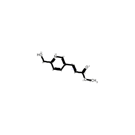 COC(=O)/C=C/c1ccc(CO)nc1